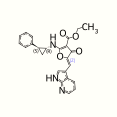 CCOC(=O)C1=C(N[C@@H]2C[C@H]2c2ccccc2)O/C(=C\c2c[nH]c3ncccc23)C1=O